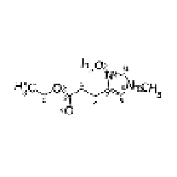 CCOC(=O)CCc1cn(C)c[n+]1C